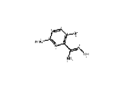 COc1ccc(Br)c(C(N)=NO)n1